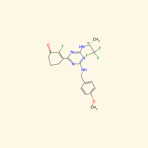 COc1ccc(CNc2nc(N[C@H](C)C(F)(F)F)nc(C3=C(F)C(=O)CCC3)n2)cc1